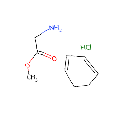 C1=CCCC=C1.COC(=O)CN.Cl